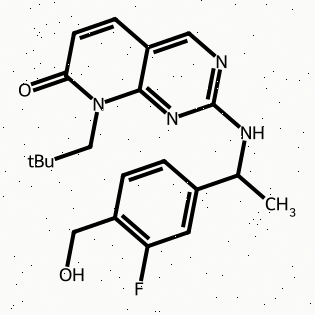 CC(Nc1ncc2ccc(=O)n(CC(C)(C)C)c2n1)c1ccc(CO)c(F)c1